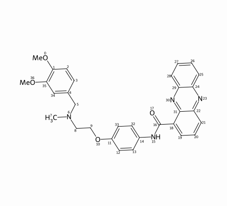 COc1ccc(CN(C)CCOc2ccc(NC(=O)c3cccc4nc5ccccc5nc34)cc2)cc1OC